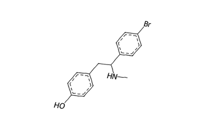 CNC(Cc1ccc(O)cc1)c1ccc(Br)cc1